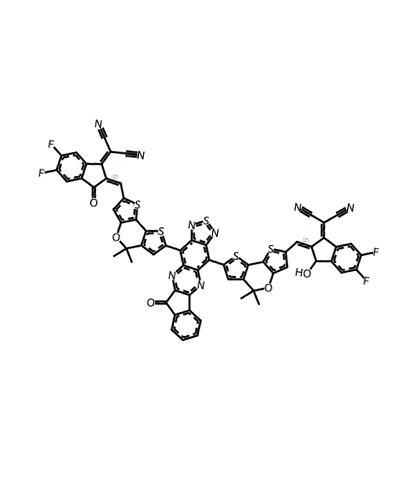 CC1(C)Oc2cc(/C=C3\C(=O)c4cc(F)c(F)cc4C3=C(C#N)C#N)sc2-c2sc(-c3c4nsnc4c(-c4cc5c(s4)-c4sc(/C=C6/C(=C(C#N)C#N)c7cc(F)c(F)cc7C6O)cc4OC5(C)C)c4nc5c(nc34)C(=O)c3ccccc3-5)cc21